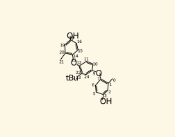 Cc1cc(O)ccc1Oc1ccc(Oc2ccc(O)cc2C)c(C(C)(C)C)c1